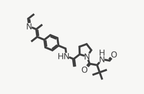 C=C(NCc1ccc(/C(C)=C(C)/N=C\C)cc1)C1CCCN1C(=O)C(NC=O)C(C)(C)C